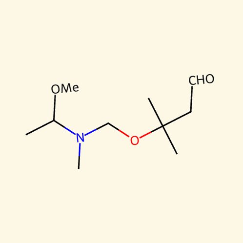 COC(C)N(C)COC(C)(C)CC=O